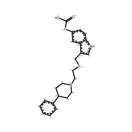 O=C(O)Oc1ccc2[nH]cc(CSCCN3CCC(c4ccccc4)CC3)c2c1